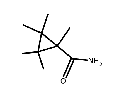 CC1(C)C(C)(C)C1(C)C(N)=O